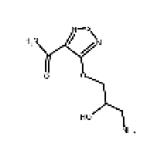 NCC(O)COc1nsnc1C(N)=O